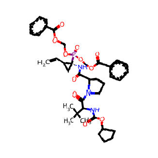 C=CC1C[C@]1(NC(=O)C1CCCN1C(=O)C(NC(=O)OC1CCCC1)C(C)(C)C)P(=O)(OCOC(=O)c1ccccc1)OCOC(=O)c1ccccc1